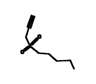 C#CCS(=O)(=O)CCCCC